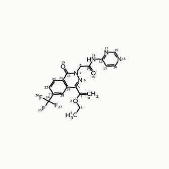 C=C(OCC)c1nn(CC(=O)Nc2ccncn2)c(=O)c2ccc(C(F)(F)F)cc12